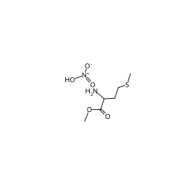 COC(=O)C(N)CCSC.O=[N+]([O-])O